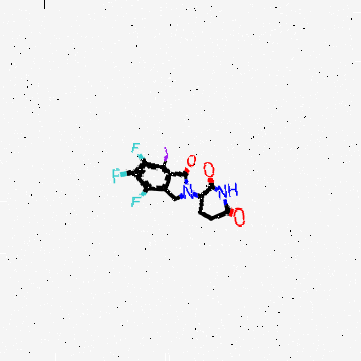 O=C1CCC(N2Cc3c(F)c(F)c(F)c(I)c3C2=O)C(=O)N1